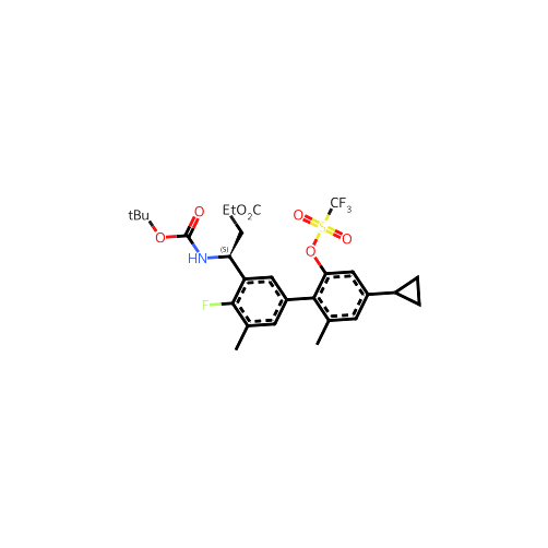 CCOC(=O)C[C@H](NC(=O)OC(C)(C)C)c1cc(-c2c(C)cc(C3CC3)cc2OS(=O)(=O)C(F)(F)F)cc(C)c1F